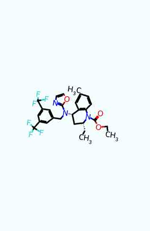 CCOC(=O)N1c2ccc(C)cc2[C@@H](N(Cc2cc(C(F)(F)F)cc(C(F)(F)F)c2)c2ncco2)C[C@H]1CC